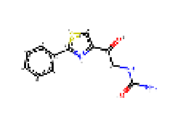 NC(=O)NCC(=O)c1csc(-c2ccccc2)n1